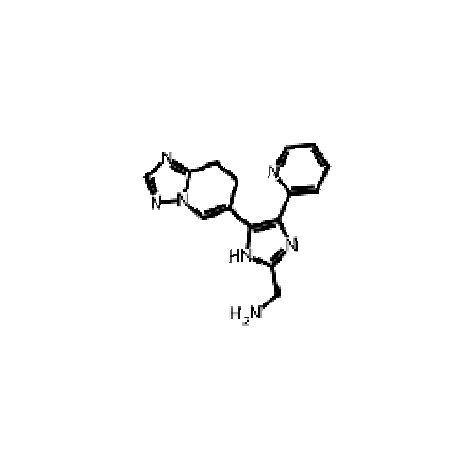 NCc1nc(-c2ccccn2)c(C2=Cn3ncnc3CC2)[nH]1